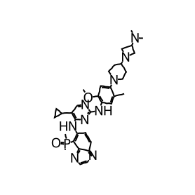 COc1cc(N2CCC(N3CC(N(C)C)C3)CC2)c(C)cc1Nc1ncc(C2CC2)c(Nc2ccc3nccnc3c2P(C)(C)=O)n1